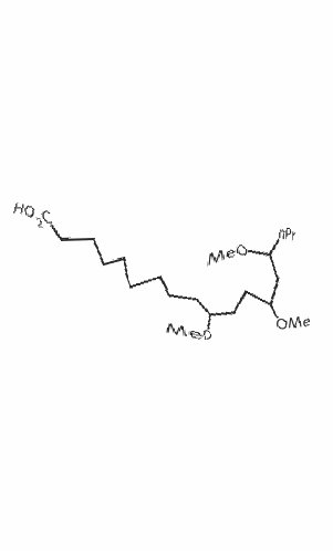 CCCC(CC(CCC(CCCCCCCCC(=O)O)OC)OC)OC